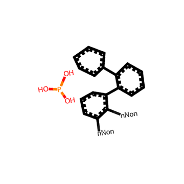 CCCCCCCCCc1cccc(-c2ccccc2-c2ccccc2)c1CCCCCCCCC.OP(O)O